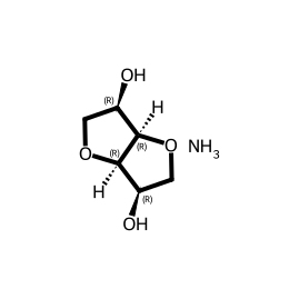 N.O[C@@H]1CO[C@H]2[C@@H]1OC[C@H]2O